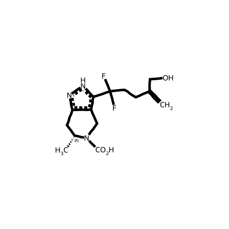 C=C(CO)CCC(F)(F)c1[nH]nc2c1CN(C(=O)O)[C@H](C)C2